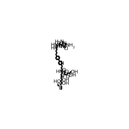 COC[C@@H](OC)[C@@H](O)[C@H](O)[C@@H](O)CN(CCNC(=O)CCc1ccc(-c2ccc(CCCCNC(=N)NC(=O)c3nc(Cl)c(N)nc3N)cc2)cn1)C[C@H](OC)[C@@H](OC)[C@H](O)[C@H](O)CO